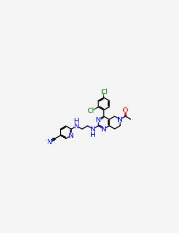 CC(=O)N1CCc2nc(NCCNc3ccc(C#N)cn3)nc(-c3ccc(Cl)cc3Cl)c2C1